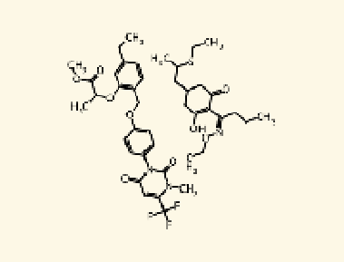 CCC/C(=N/OCC)C1=C(O)CC(CC(C)SCC)CC1=O.CCc1ccc(COc2ccc(-n3c(=O)cc(C(F)(F)F)n(C)c3=O)cc2)c(OC(C)C(=O)OC)c1